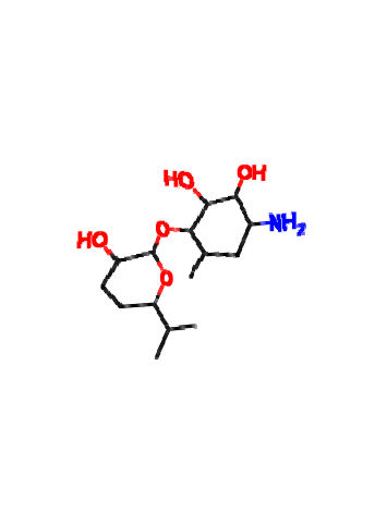 CC(C)C1CCC(O)C(OC2C(C)CC(N)C(O)C2O)O1